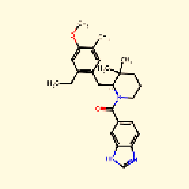 CCc1cc(OC)c(C)cc1C[C@@H]1N(C(=O)c2ccc3nc[nH]c3c2)CCCC1(C)C